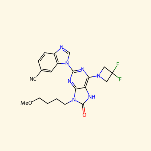 COCCCCn1c(=O)[nH]c2c(N3CC(F)(F)C3)nc(-n3cnc4ccc(C#N)cc43)nc21